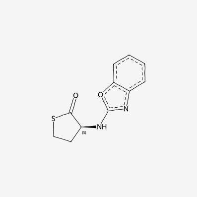 O=C1SCC[C@@H]1Nc1nc2ccccc2o1